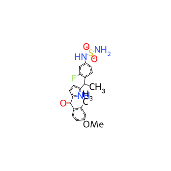 COc1ccc(C(=O)c2ccc(C(C)c3ccc(NS(N)(=O)=O)cc3F)[nH]2)c(C)c1